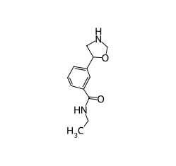 CCNC(=O)c1cccc(C2CNCO2)c1